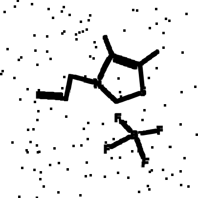 C=CCN1CSC(C)=C1C.F[B-](F)(F)F